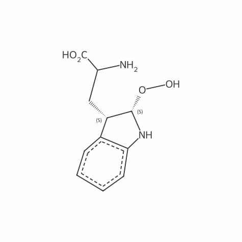 NC(C[C@H]1c2ccccc2N[C@H]1OO)C(=O)O